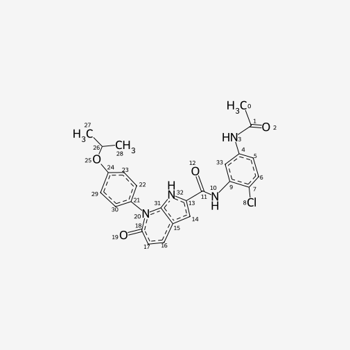 CC(=O)Nc1ccc(Cl)c(NC(=O)c2cc3ccc(=O)n(-c4ccc(OC(C)C)cc4)c3[nH]2)c1